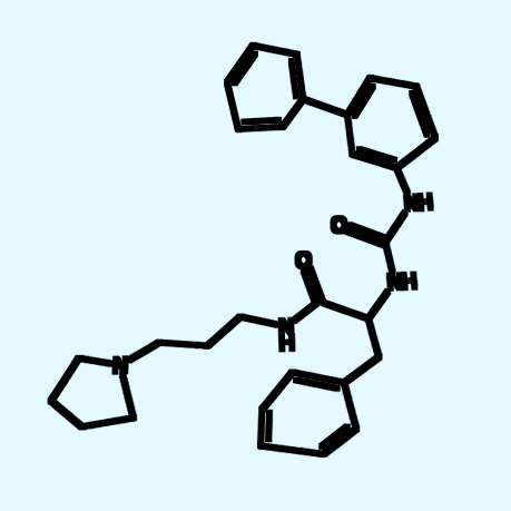 O=C(Nc1cccc(-c2ccccc2)c1)NC(Cc1ccccc1)C(=O)NCCCN1CCCC1